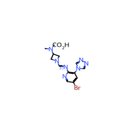 CN(C(=O)O)C1CN(/C=N/c2ncc(Br)cc2-n2cnnc2)C1